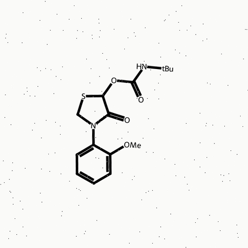 COc1ccccc1N1CSC(OC(=O)NC(C)(C)C)C1=O